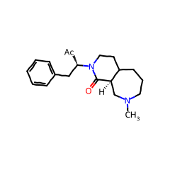 CC(=O)[C@H](Cc1ccccc1)N1CCC2CCCN(C)C[C@H]2C1=O